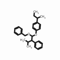 CCC(C)c1ccc(OC(OCc2ccccc2)C(c2ccccc2)C(C)C)cc1